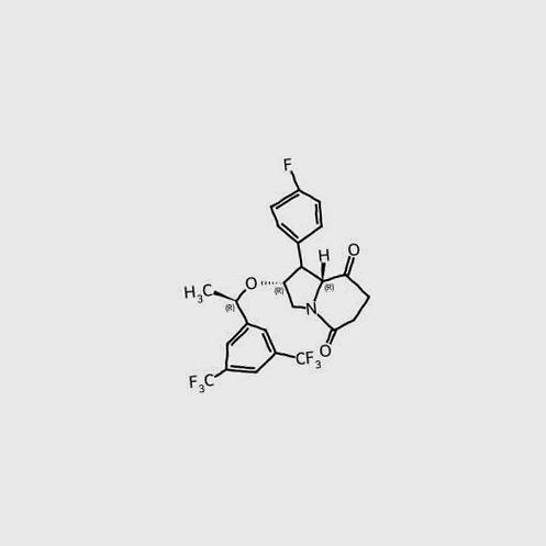 C[C@@H](O[C@H]1CN2C(=O)CCC(=O)[C@H]2C1c1ccc(F)cc1)c1cc(C(F)(F)F)cc(C(F)(F)F)c1